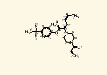 C=CC(=O)N1CCN(/C(=N/C=C\C)C(=C)Oc2ccc(C(C)(F)F)nc2)CC1